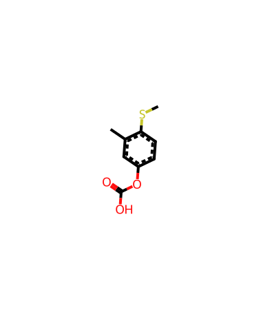 CSc1ccc(OC(=O)O)cc1C